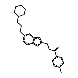 Cc1ccc(C(=O)CCc2cn3cc(CCCC4CCCCC4)ccc3n2)cc1